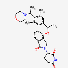 Bc1cc(C(B)Oc2cccc3c2CN(C2CCC(=O)NC2=O)C3=O)cc(B)c1C(B)N1CCOCC1